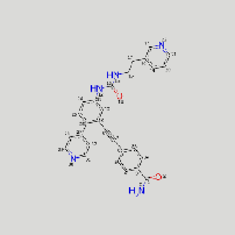 NC(=O)c1ccc(C#Cc2cc(NC(=O)NCCc3cccnc3)ccc2-c2ccncc2)cc1